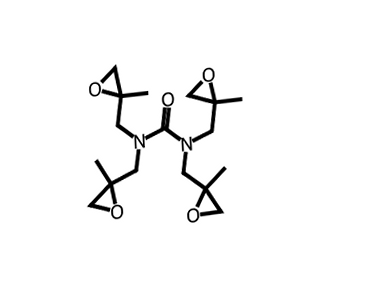 CC1(CN(CC2(C)CO2)C(=O)N(CC2(C)CO2)CC2(C)CO2)CO1